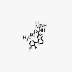 CS(=O)(=O)O.N=C(N)NC(=O)c1cc2c(-c3cccc(F)c3F)cccc2s1